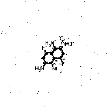 Nc1cc(F)c2c(N)c([N+](=O)[O-])cc(F)c2c1N